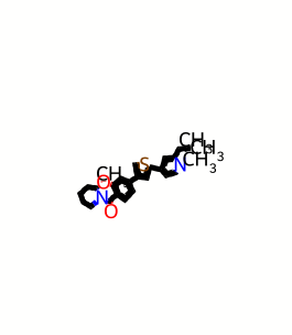 COc1cc(-c2csc(-c3ccnc(CC(C)(C)C)c3)c2)ccc1C(=O)N1CCCCC1